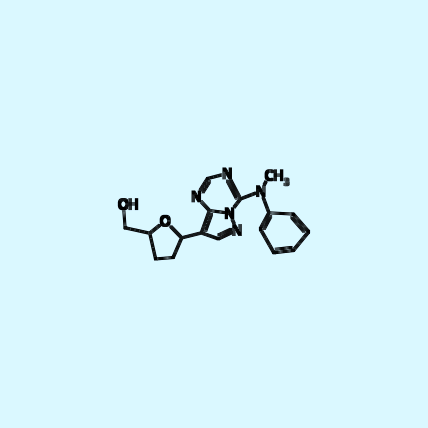 CN(c1ccccc1)c1ncnc2c(C3CCC(CO)O3)cnn12